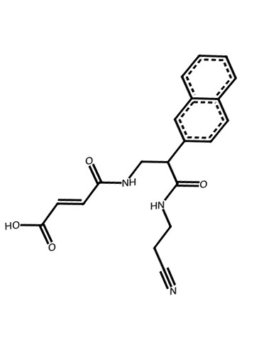 N#CCCNC(=O)C(CNC(=O)C=CC(=O)O)c1ccc2ccccc2c1